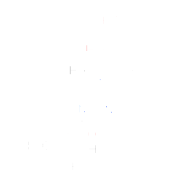 CN1C(NC(=O)OC(C)(C)C)=NCC1c1cccc(O)c1O